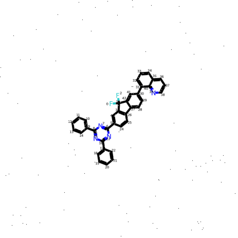 FC1(F)c2cc(-c3nc(-c4ccccc4)nc(-c4ccccc4)n3)ccc2-c2ccc(-c3cccc4cccnc34)cc21